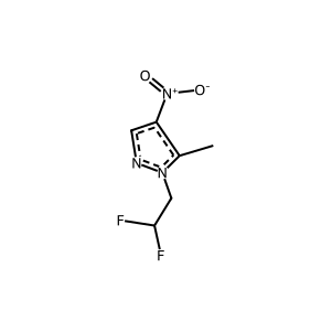 Cc1c([N+](=O)[O-])cnn1CC(F)F